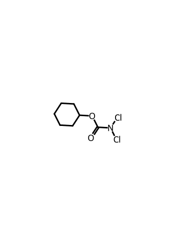 O=C(OC1CCCCC1)N(Cl)Cl